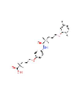 Cc1ccc(C)c(OCCCC(C)(C)C(=O)Nc2ccc(OCCCC(C)(C)C(=O)O)cc2)c1